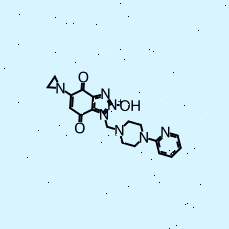 O=C1C(N2CC2)=CC(=O)c2c1n[n+](O)n2CN1CCN(c2ccccn2)CC1